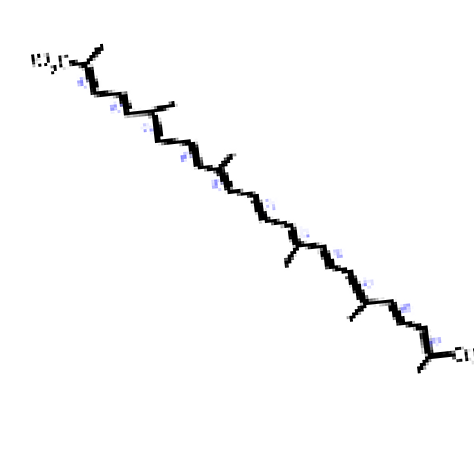 CC(/C=C/C=C(C)/C=C/C=C(\C)C(=O)O)=C\C=C\C=C(C)\C=C\C=C(C)\C=C\C=C(/C)C(=O)O